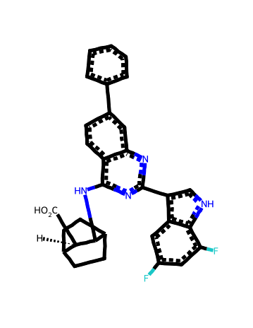 O=C(O)[C@@H]1C2CCC(CC2)C1Nc1nc(-c2c[nH]c3c(F)cc(F)cc23)nc2cc(-c3ccccc3)ccc12